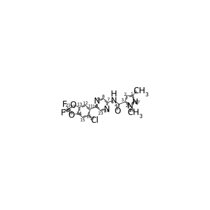 Cc1cc(C(=O)Nc2cnc(-c3cc4c(cc3Cl)OC(F)(F)O4)cn2)n(C)n1